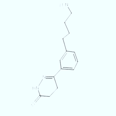 NCCCCc1cccc(C2=NNC(=O)CC2)c1